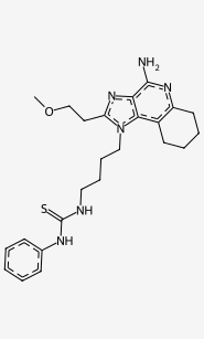 COCCc1nc2c(N)nc3c(c2n1CCCCNC(=S)Nc1ccccc1)CCCC3